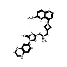 COc1ccc2nccc(N3CC(CN(C)C[C@H]4CN(c5ccc6c(c5)OCCO6)C(=O)O4)C3)c2n1